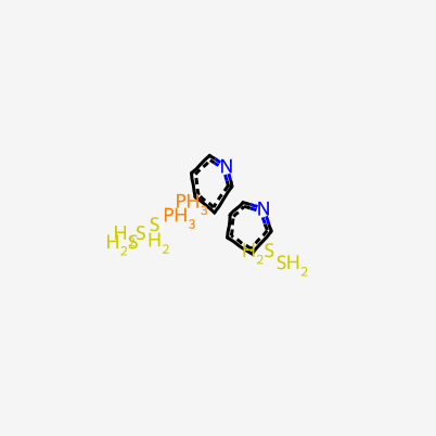 P.P.S.S.S.S.S.c1ccncc1.c1ccncc1